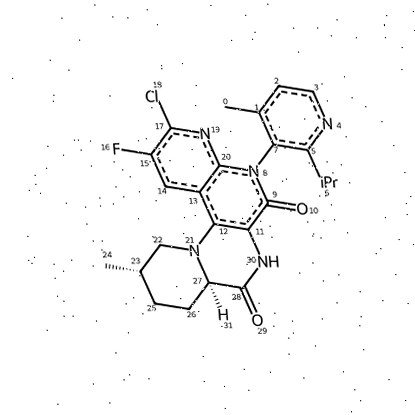 Cc1ccnc(C(C)C)c1-n1c(=O)c2c(c3cc(F)c(Cl)nc31)N1C[C@@H](C)CC[C@@H]1C(=O)N2